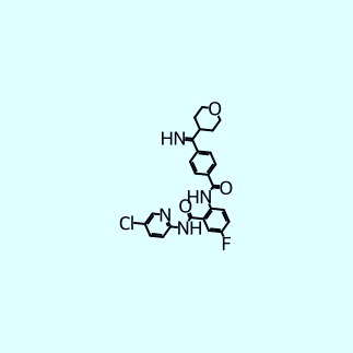 N=C(c1ccc(C(=O)Nc2ccc(F)cc2C(=O)Nc2ccc(Cl)cn2)cc1)C1CCOCC1